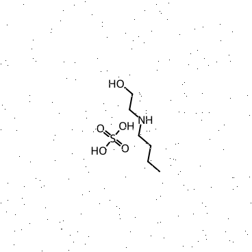 CCCCNCCO.O=S(=O)(O)O